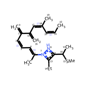 C=C(/C=C\C=C(/C)n1[nH]c(C(C)SC)c1CC)C(=C)/C=C(C)\C=C/C